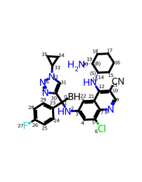 BC(Nc1cc(Cl)c2ncc(C#N)c(N[C@H]3CCCC[C@H]3N)c2c1)(c1ccc(F)cc1)c1cn(C2CC2)nn1